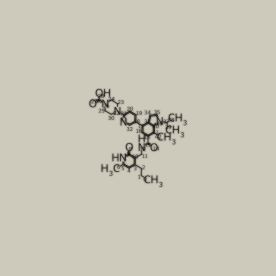 CCCc1cc(C)[nH]c(=O)c1CNC(=O)c1cc(-c2ccc(N3CCN(C(=O)O)CC3)nc2)c2ccn(C(C)C)c2c1C